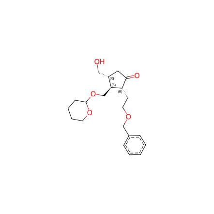 O=C1C[C@@H](CO)[C@H](COC2CCCCO2)[C@H]1CCOCc1ccccc1